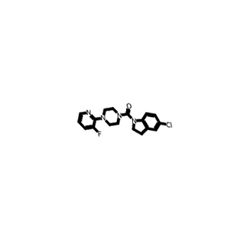 O=C(N1CCN(c2ncccc2F)CC1)N1CCc2cc(Cl)ccc21